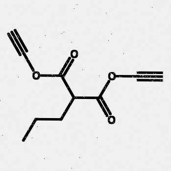 C#COC(=O)C(CCC)C(=O)OC#C